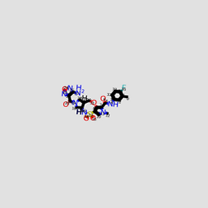 Cc1cc(NC(=O)c2c3c(cn2C)S(=O)(=O)N[C@@H]2CN(C(=O)c4nonc4N)C[C@@H]2CO3)ccc1F